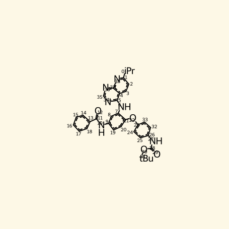 CC(C)c1ccc2c(Nc3cc(NC(=O)c4ccccc4)ccc3Oc3ccc(NC(=O)OC(C)(C)C)cc3)ncnc2n1